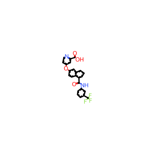 O=C(O)c1cc(Oc2ccc3c(C(=O)Nc4cccc(C(F)(F)F)c4)cccc3c2)ccn1